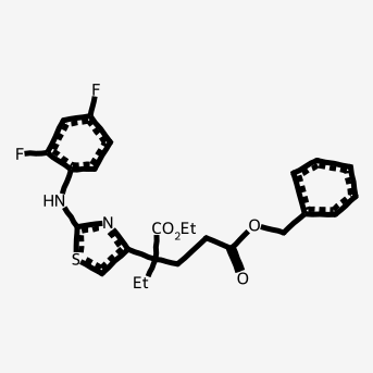 CCOC(=O)C(CC)(CCC(=O)OCc1ccccc1)c1csc(Nc2ccc(F)cc2F)n1